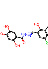 Cc1cc(Cl)cc(/C=N/NC(=O)c2cc(O)c(O)cc2O)c1O